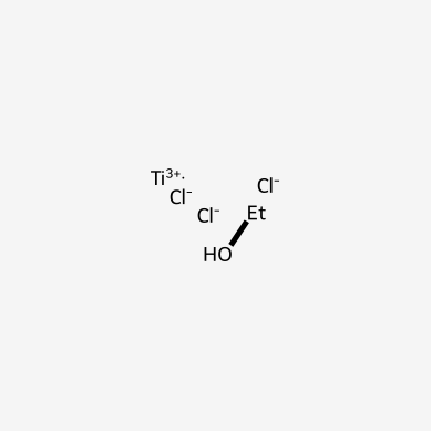 CCO.[Cl-].[Cl-].[Cl-].[Ti+3]